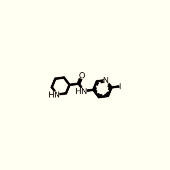 O=C(Nc1ccc(I)nc1)C1CCCNC1